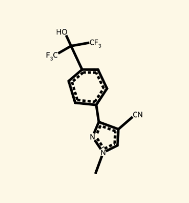 Cn1cc(C#N)c(-c2ccc(C(O)(C(F)(F)F)C(F)(F)F)cc2)n1